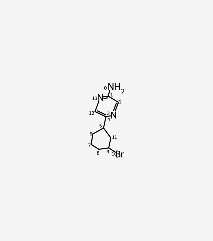 Nc1cnc(C2CCCC(Br)C2)cn1